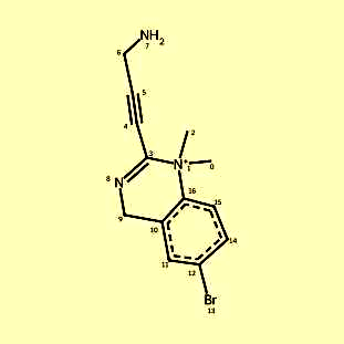 C[N+]1(C)C(C#CCN)=NCc2cc(Br)ccc21